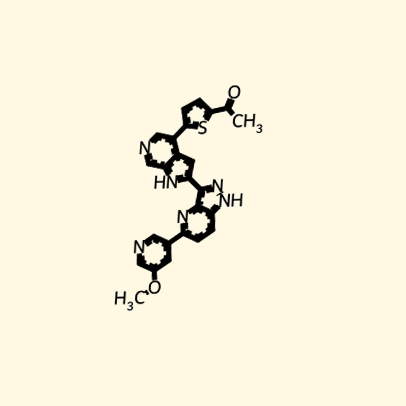 COc1cncc(-c2ccc3[nH]nc(-c4cc5c(-c6ccc(C(C)=O)s6)cncc5[nH]4)c3n2)c1